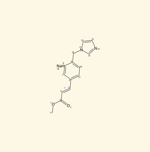 COC(=O)/C=C/c1ccc(Cn2ccnc2)cc1.[NaH]